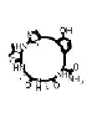 CC(C)[C@H]1Nc2ncc(s2)Cc2cc(ccc2O)CC(C(N)=O)NC(=O)[C@H](C)NC(=O)[C@H](C)NC1=O